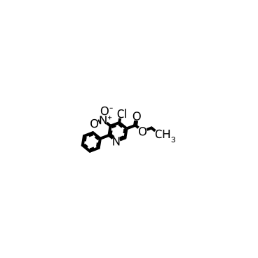 CCOC(=O)c1cnc(-c2ccccc2)c([N+](=O)[O-])c1Cl